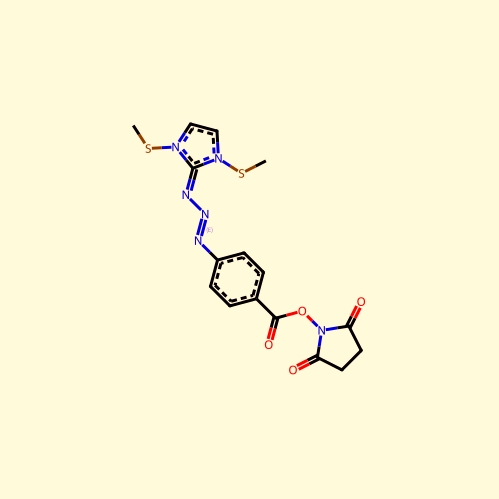 CSn1ccn(SC)c1=N/N=N/c1ccc(C(=O)ON2C(=O)CCC2=O)cc1